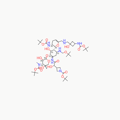 CN(C(=O)OC(C)(C)C)[C@@H]1[C@@H](O)[C@@H](O[C@H]2[C@H](NC(=O)C(O)C3CN(C(=O)OC(C)(C)C)C3)C[C@H](NCOC(C)(C)C)C([C@H]3OC(CNCC4(O)CC(NC(=O)OC(C)(C)C)C4)=CC[C@H]3NC(=O)OC(C)(C)C)[C@@H]2O)OC[C@]1(C)O